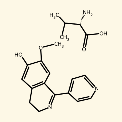 CC(C)[C@H](N)C(=O)O.COc1cc2c(cc1O)CCN=C2c1ccncc1